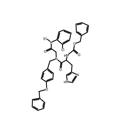 CCN(C(=O)CN(Cc1ccc(OCc2ccccc2)cc1)C(=O)C(Cc1c[nH]cn1)NC(=O)OCc1ccccc1)c1ccccc1Cl